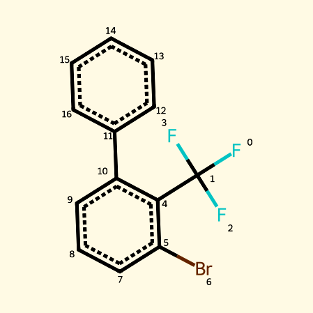 FC(F)(F)c1c(Br)cccc1-c1ccccc1